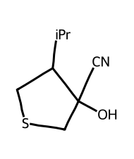 CC(C)C1CSCC1(O)C#N